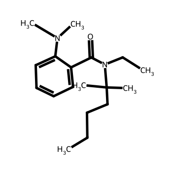 CCCCC(C)(C)N(CC)C(=O)c1ccccc1N(C)C